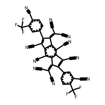 N#CC(C#N)=C1C(c2ccc(C(F)(F)F)c(C#N)c2)=C(C#N)c2c(C#N)c3c(c(C#N)c21)C(C#N)=C(c1ccc(C#N)c(C(F)(F)F)c1)C3=C(C#N)C#N